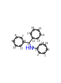 c1ccc(NC(c2ccccc2)c2ccccc2)cc1